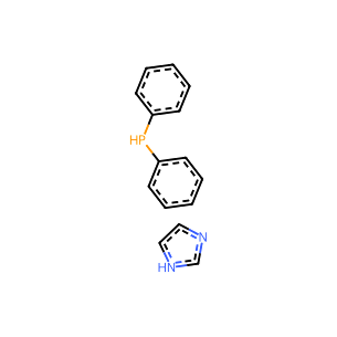 c1c[nH]cn1.c1ccc(Pc2ccccc2)cc1